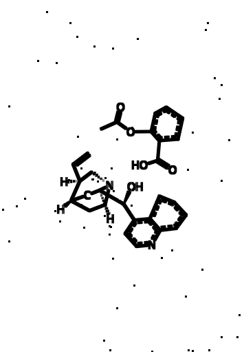 C=C[C@H]1C[N@]2CC[C@H]1C[C@@H]2[C@@H](O)c1ccnc2ccccc12.CC(=O)Oc1ccccc1C(=O)O